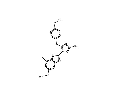 COc1ccc(Cn2nc(N)cc2-c2nc3cc(OC)cc(F)c3[nH]2)cc1